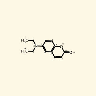 CCN(CC)c1ccc2oc(=O)ccc2c1